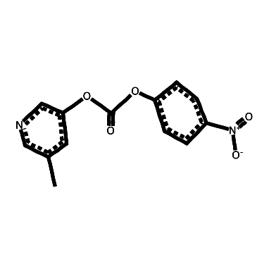 Cc1cncc(OC(=O)Oc2ccc([N+](=O)[O-])cc2)c1